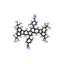 Cc1cc(C#N)ccc1-c1cc2c3cc4c(cc3c(-c3ccc(C#N)cc3C)cc2c2cc3c(cc12)-c1cc(C(C)(C)C)cc2cc(C(C)(C)C)cc-3c12)-c1cc(C(C)(C)C)cc2cc(C(C)(C)C)cc-4c12